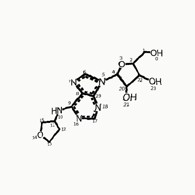 OCC1OC(n2cnc3c(NC4CCOC4)ncnc32)C(O)C1O